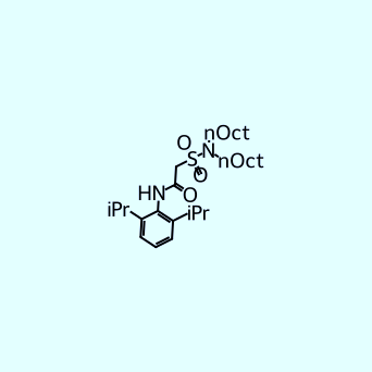 CCCCCCCCN(CCCCCCCC)S(=O)(=O)CC(=O)Nc1c(C(C)C)cccc1C(C)C